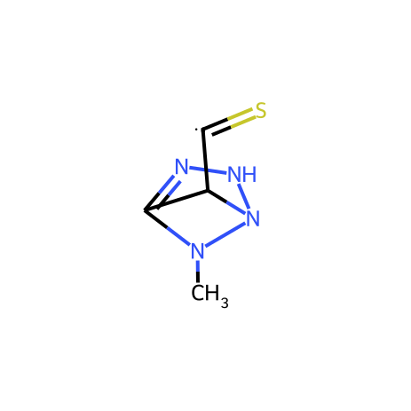 CN1C2=NNN1C2[C]=S